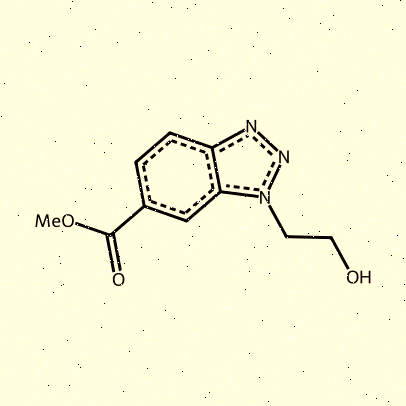 COC(=O)c1ccc2nnn(CCO)c2c1